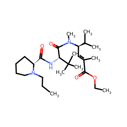 CCCN1CCCC[C@@H]1C(=O)N[C@H](C(=O)N(C)[C@H](/C=C(\C)C(=O)OCC)C(C)C)C(C)(C)C